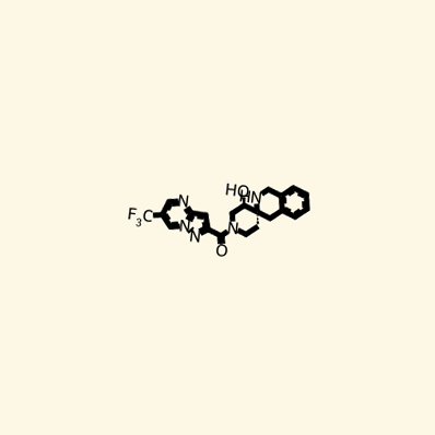 O=C(c1cc2ncc(C(F)(F)F)cn2n1)N1CC[C@]2(Cc3ccccc3CN2)[C@H](O)C1